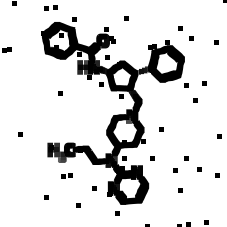 CCCN(c1ncccn1)C1CCN(C[C@H]2C[C@@H](NC(=O)c3ccccc3)C[C@@H]2c2ccccc2)CC1